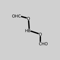 O=COBOC=O